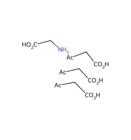 CC(=O)CC(=O)O.CC(=O)CC(=O)O.CC(=O)CC(=O)O.NCC(=O)O